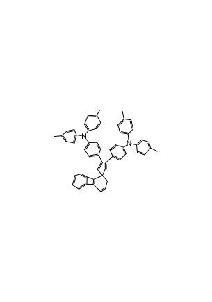 Cc1ccc(N(c2ccc(C)cc2)c2ccc(C=CC3(C=Cc4ccc(N(c5ccc(C)cc5)c5ccc(C)cc5)cc4)CC=CC4=C3c3ccccc34)cc2)cc1